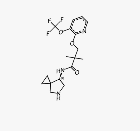 CC(C)(COc1ncccc1OC(F)(F)F)C(=O)N[C@H]1CNCC12CC2